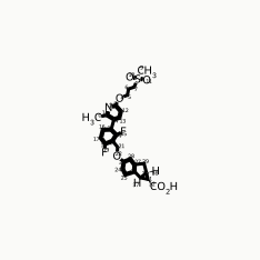 Cc1nc(OCCCS(C)(=O)=O)ccc1-c1ccc(F)c(COc2ccc3c(c2)C[C@H]2[C@H](C(=O)O)[C@@H]32)c1F